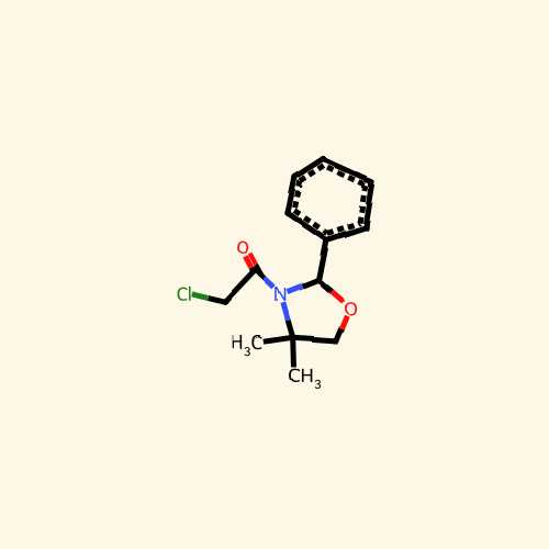 CC1(C)COC(c2ccccc2)N1C(=O)CCl